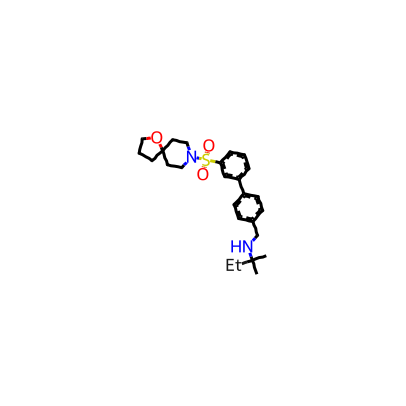 CCC(C)(C)NCc1ccc(-c2cccc(S(=O)(=O)N3CCC4(CCCO4)CC3)c2)cc1